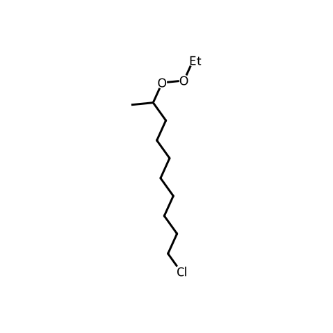 CCOOC(C)CCCCCCCCCl